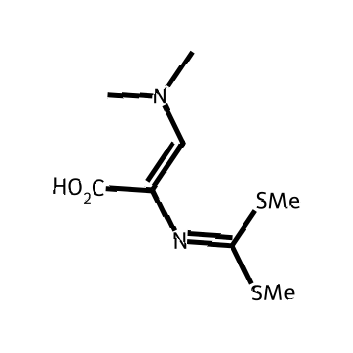 CSC(=NC(=CN(C)C)C(=O)O)SC